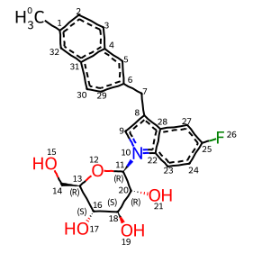 Cc1ccc2cc(Cc3cn([C@@H]4O[C@H](CO)[C@@H](O)[C@H](O)[C@H]4O)c4ccc(F)cc34)ccc2c1